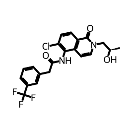 C[C@@H](O)Cn1ccc2c(NC(=O)Cc3cccc(C(F)(F)F)c3)c(Cl)ccc2c1=O